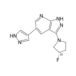 F[C@H]1CCN(c2n[nH]c3ncc(-c4cn[nH]c4)cc23)C1